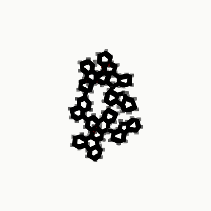 c1ccc(-c2cc(-c3cccc(-c4ccc5c(-c6cccc(-c7ccccc7N(c7ccc8c9ccccc9c9ccccc9c8c7)c7cccc8c7sc7ccccc78)c6)cccc5c4)c3)cc(N(c3ccccc3-c3cccc(-c4cccc5ccccc45)c3)c3cccc4c3sc3ccccc34)c2)cc1